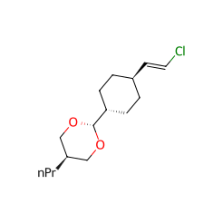 CCC[C@H]1CO[C@H]([C@H]2CC[C@H](/C=C/Cl)CC2)OC1